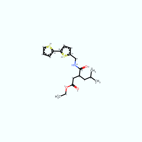 CCOC(=O)CC(CC(C)C)C(=O)NCc1ccc(-c2cccs2)s1